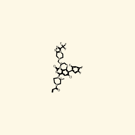 C=CC(=O)N1CCN(c2nc(=O)n3c4c(c(-c5cc(F)c(F)cc5F)c(Cl)cc24)SC[C@@H]3CN2CCn3c(nnc3C(F)(F)F)C2)[C@@H](C)C1